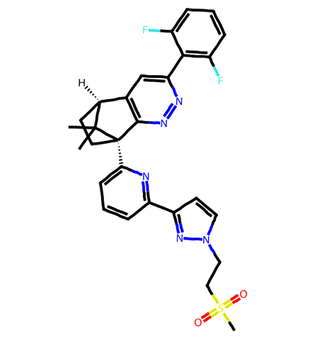 CC1(C)[C@H]2CC[C@]1(c1cccc(-c3ccn(CCS(C)(=O)=O)n3)n1)c1nnc(-c3c(F)cccc3F)cc12